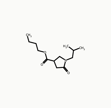 CCCCOC(=O)C1CC(=O)N(CC(C)C)C1